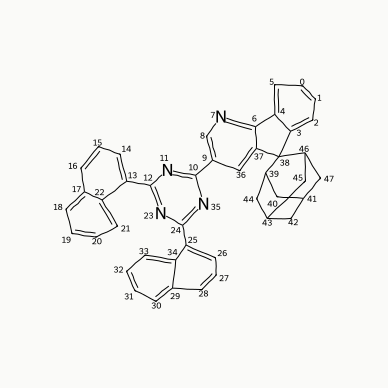 c1ccc2c(c1)-c1ncc(-c3nc(-c4cccc5ccccc45)nc(-c4cccc5ccccc45)n3)cc1C21C2CC3CC(C2)CC1C3